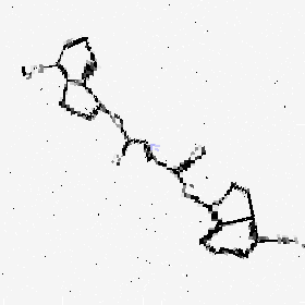 Nc1cccc2c1CCC2OC(=O)/C=C/C(=O)OC1CCc2c(N)cccc21